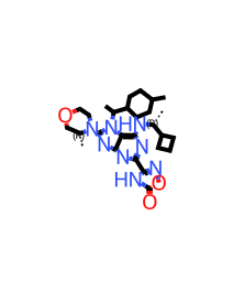 CC1CCC(C(C)n2c(N3CCOC[C@H]3C)nc3nc(-c4noc(=O)[nH]4)nc(N[C@H](C)C4CCC4)c32)CC1